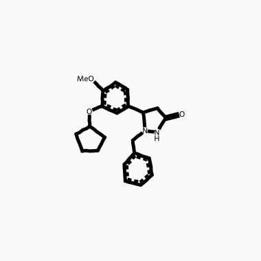 COc1ccc(C2CC(=O)NN2Cc2ccccc2)cc1OC1CCCC1